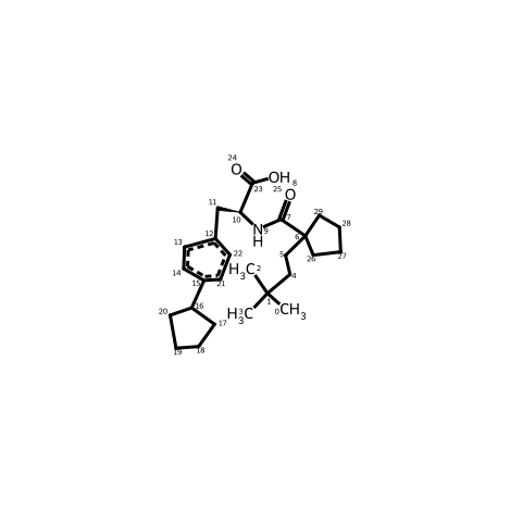 CC(C)(C)CCC1(C(=O)N[C@@H](Cc2ccc(C3CCCC3)cc2)C(=O)O)CCCC1